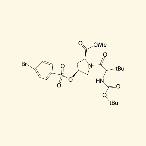 COC(=O)[C@@H]1C[C@H](OS(=O)(=O)c2ccc(Br)cc2)CN1C(=O)C(NC(=O)OC(C)(C)C)C(C)(C)C